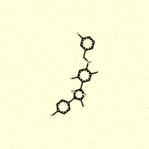 Cc1nc(-c2cc(F)c(NCc3cccc(F)c3)cc2F)[nH]c1-c1ccc(Cl)cc1